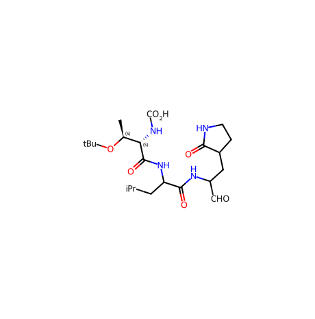 CC(C)CC(NC(=O)[C@@H](NC(=O)O)[C@H](C)OC(C)(C)C)C(=O)NC(C=O)CC1CCNC1=O